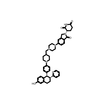 O=C1CC[C@H](N2Cc3cc(N4CCN(CC5CCN(c6ccc([C@@H]7c8ccc(O)cc8CC[C@@H]7c7ccccn7)cc6)CC5)CC4)ccc3C2=O)C(=O)N1